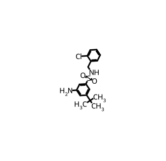 CC(C)(C)c1cc(N)cc(S(=O)(=O)NCc2ccccc2Cl)c1